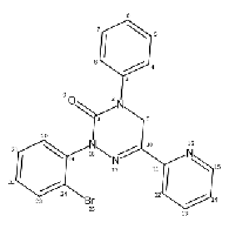 O=C1N(c2ccccc2)CC(c2ccccn2)=NN1c1ccccc1Br